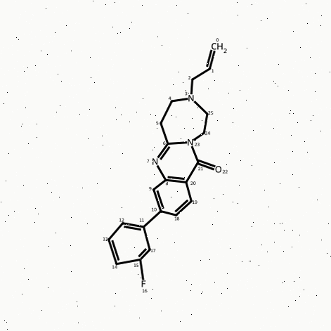 C=CCN1CCc2nc3cc(-c4cccc(F)c4)ccc3c(=O)n2CC1